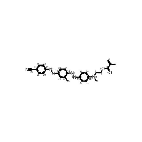 C=C(C)C(=O)OCCN(C)c1ccc(/N=N/c2ccc(/N=N/c3ccc(C#N)cc3)cc2C)cc1